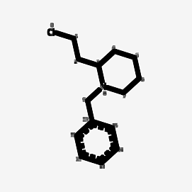 ClCCC1CCCCN1Cc1ccccc1